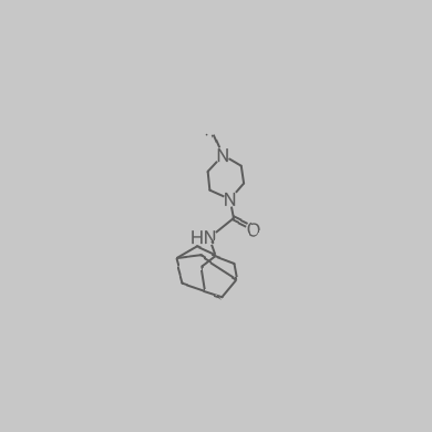 [CH2]N1CCN(C(=O)NC23CC4CC(CC(C4)C2)C3)CC1